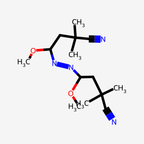 COC(CC(C)(C)C#N)N=NC(CC(C)(C)C#N)OC